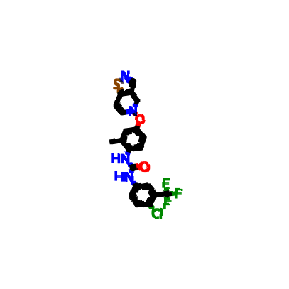 Cc1cc(ON2C=Cc3sncc3C2)ccc1NC(=O)Nc1ccc(Cl)c(C(F)(F)F)c1